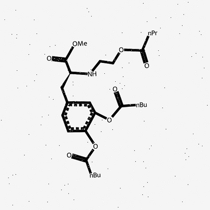 CCCCC(=O)Oc1ccc(C[C@H](NCCOC(=O)CCC)C(=O)OC)cc1OC(=O)CCCC